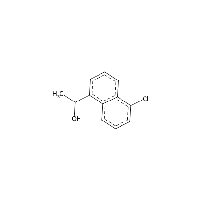 CC(O)c1cccc2c(Cl)cccc12